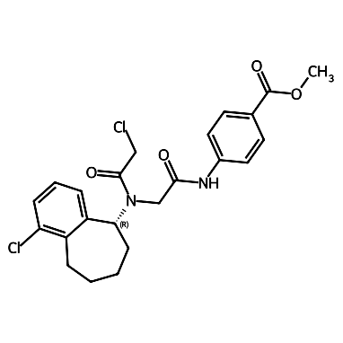 COC(=O)c1ccc(NC(=O)CN(C(=O)CCl)[C@@H]2CCCCc3c(Cl)cccc32)cc1